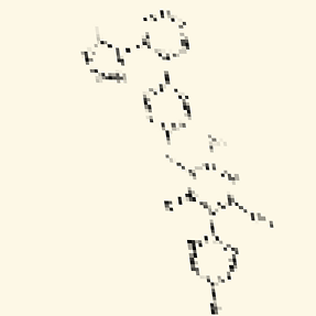 CCCCc1nc(C)n(-c2ncc(Br)cn2)c(=O)c1Cc1ccc(-c2ccccc2-c2nnn[nH]2)cc1